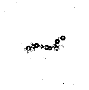 Nc1ncnc2c1c(-c1ccc(Oc3ccccc3)cc1)nn2C1CCC2(CCN(C3CN(c4ccc5c(c4)C(=O)N(C4CCC(=O)NC4=O)C5=O)C3)CC2)C1